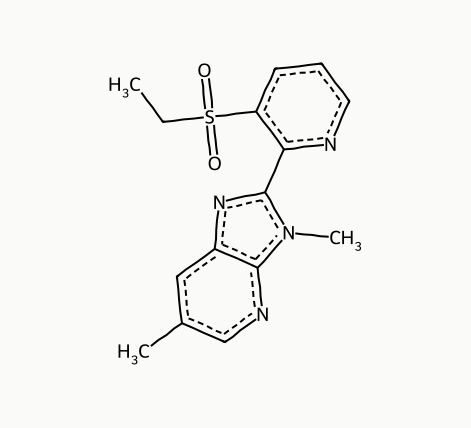 CCS(=O)(=O)c1cccnc1-c1nc2cc(C)cnc2n1C